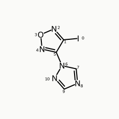 Ic1nonc1-n1cncn1